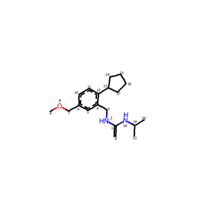 C=C(NCc1cc(COC)ccc1C1CCCC1)NC(C)C